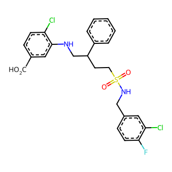 O=C(O)c1ccc(Cl)c(NCC(CCS(=O)(=O)NCc2ccc(F)c(Cl)c2)c2ccccc2)c1